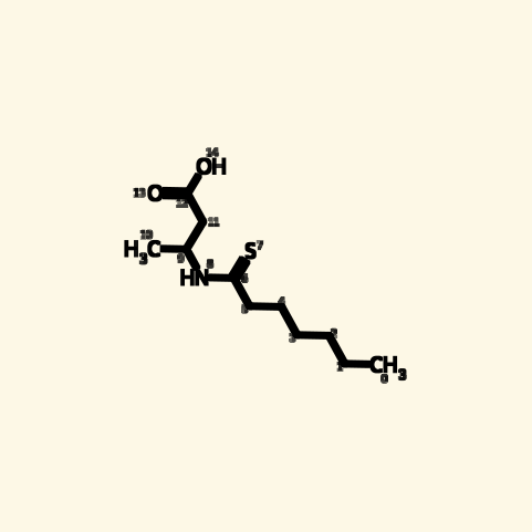 CCCCCCC(=S)NC(C)CC(=O)O